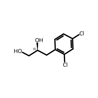 OC[C@@H](O)Cc1ccc(Cl)cc1Cl